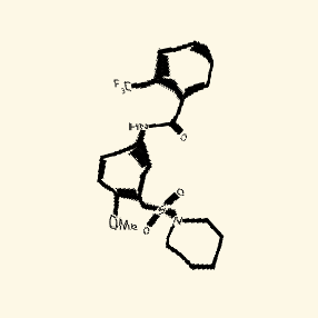 COc1ccc(NC(=O)c2ccccc2C(F)(F)F)cc1S(=O)(=O)N1CCCCC1